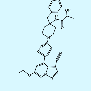 CCOc1cc(-c2ccc(N3CCC(Cc4ccccc4)(NC(=O)C(C)O)CC3)nc2)c2c(C#N)cnn2c1